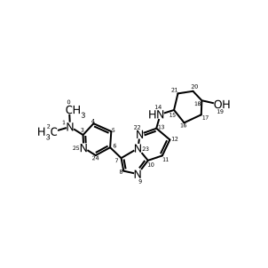 CN(C)c1ccc(-c2cnc3ccc(NC4CCC(O)CC4)nn23)cn1